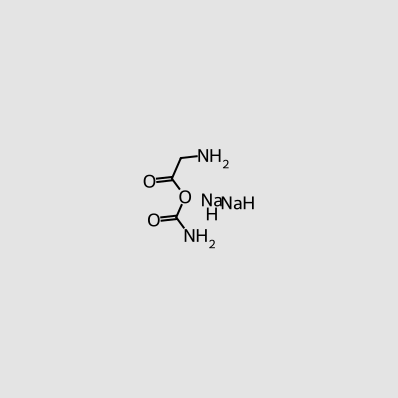 NCC(=O)OC(N)=O.[NaH].[NaH]